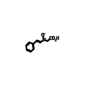 O=C(O)C[S+]([O-])C=Cc1ccccc1